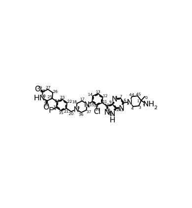 CC1(N)CCN(c2cnc3c(-c4cccc(N5CCN(Cc6ccc(C7CCC(=O)NC7=O)c(F)c6)CC5)c4Cl)n[nH]c3n2)CC1